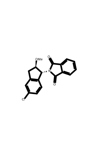 CO[C@@H]1Cc2cc(Cl)ccc2[C@H]1N1C(=O)c2ccccc2C1=O